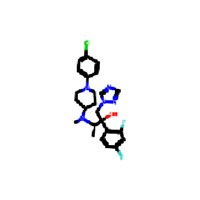 C[C@@H](N(C)C1CCN(c2ccc(Cl)cc2)CC1)[C@](O)(Cn1cncn1)c1ccc(F)cc1F